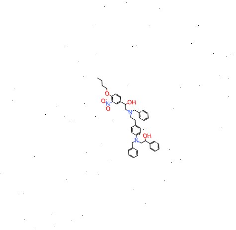 CCCCOc1ccc(C(O)CN(CCc2ccc(N(Cc3ccccc3)CC(O)c3ccccc3)cc2)Cc2ccccc2)cc1[N+](=O)[O-]